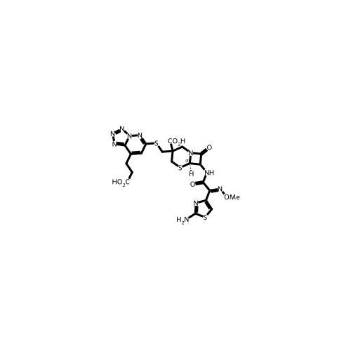 CON=C(C(=O)NC1C(=O)N2CC(CSc3cc(CCC(=O)O)c4nnnn4n3)(C(=O)O)CS[C@H]12)c1csc(N)n1